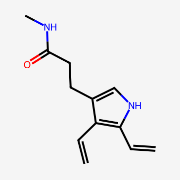 C=Cc1[nH]cc(CCC(=O)NC)c1C=C